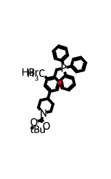 Br.Cc1cc(C2CCN(C(=O)OC(C)(C)C)CC2)ccc1C[P](c1ccccc1)(c1ccccc1)c1ccccc1